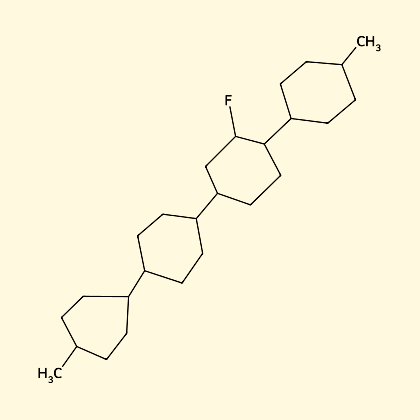 CC1CCC(C2CCC(C3CCC(C4CCC(C)CC4)C(F)C3)CC2)CC1